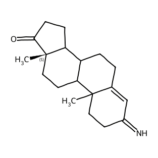 CC12CCC(=N)C=C1CCC1C2CC[C@]2(C)C(=O)CCC12